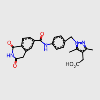 Cc1nn(Cc2ccc(NC(=O)c3ccc4c(c3)CC(=O)NC4=O)cc2)c(C)c1CC(=O)O